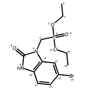 CCOP(=O)(Cn1c(=O)[nH]c2ccc(Br)cc21)OCC